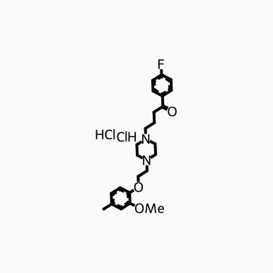 COc1cc(C)ccc1OCCN1CCN(CCCC(=O)c2ccc(F)cc2)CC1.Cl.Cl